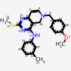 COc1ccc(CN2C=Cc3nc(SC)nc(Nc4cccc(C)c4)c3C2)cc1